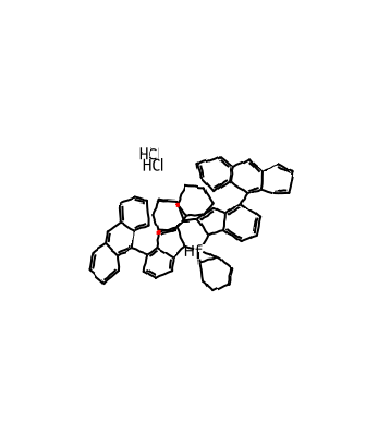 C1=C(C2CCCCC2)[CH]([Hf]2([CH]3C(C4CCCCC4)=Cc4c(-c5c6ccccc6cc6ccccc56)cccc43)[CH]3CCCC[CH]32)c2cccc(-c3c4ccccc4cc4ccccc34)c21.Cl.Cl